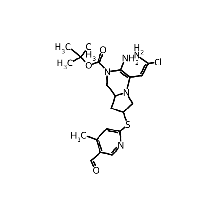 Cc1cc(SC2CC3CN(C(=O)OC(C)(C)C)C(N)=C(/C=C(\N)Cl)N3C2)ncc1C=O